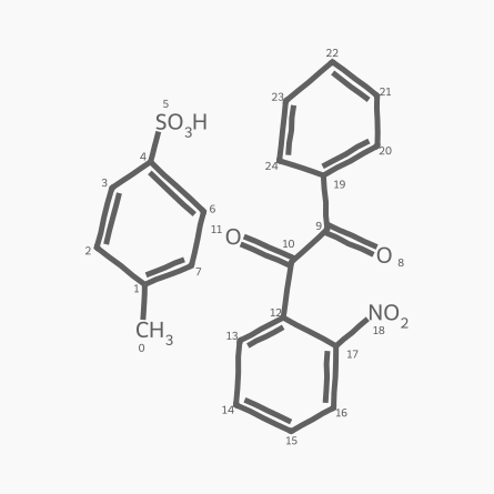 Cc1ccc(S(=O)(=O)O)cc1.O=C(C(=O)c1ccccc1[N+](=O)[O-])c1ccccc1